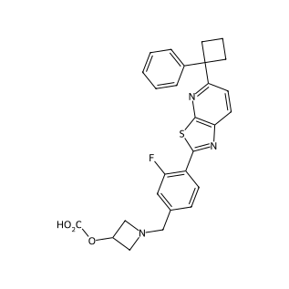 O=C(O)OC1CN(Cc2ccc(-c3nc4ccc(C5(c6ccccc6)CCC5)nc4s3)c(F)c2)C1